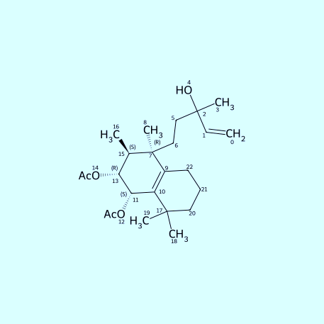 C=CC(C)(O)CC[C@@]1(C)C2=C([C@H](OC(C)=O)[C@H](OC(C)=O)[C@H]1C)C(C)(C)CCC2